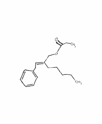 CCCCC/C(=C\c1ccccc1)COC(C)=O